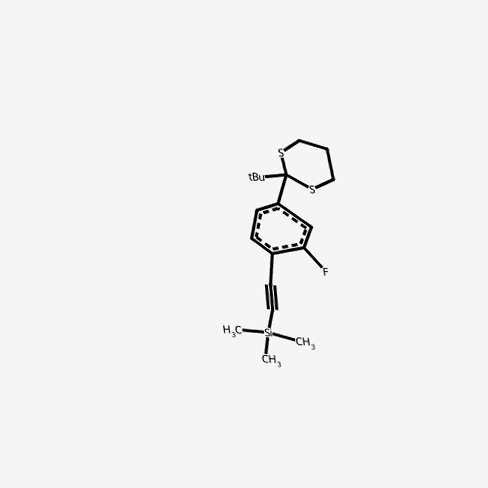 CC(C)(C)C1(c2ccc(C#C[Si](C)(C)C)c(F)c2)SCCCS1